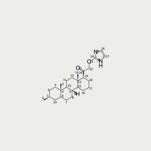 C[C@H]1CC[C@@]2(C)C(CC[C@@H]3C2CC[C@@]2(C)C3CCC[C@@H]2C(=O)COc2ncc[nH]2)C1